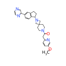 COc1ccc(CC(=O)N2CCC3(CC2)CN(C2CCc4cc(-c5cnccn5)ccc42)C3)nc1